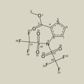 COC(=O)c1sccc1N(S(=O)(=O)C(F)(F)F)S(=O)(=O)C(F)(F)F